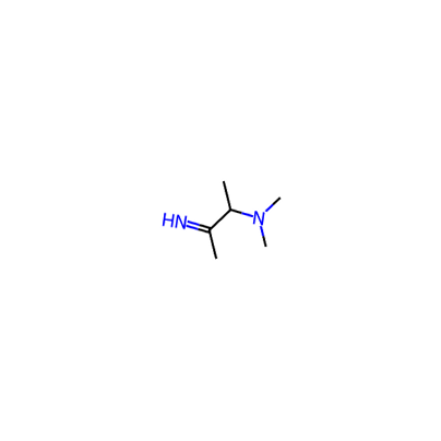 CC(=N)C(C)N(C)C